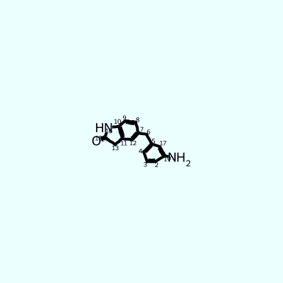 Nc1cccc(Cc2ccc3c(c2)CC(=O)N3)c1